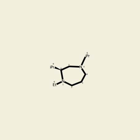 CCN1CCCN(C(C)C)C[C@@H]1C(C)C